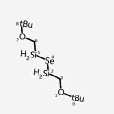 CC(C)(C)OC[SiH2][Se][SiH2]COC(C)(C)C